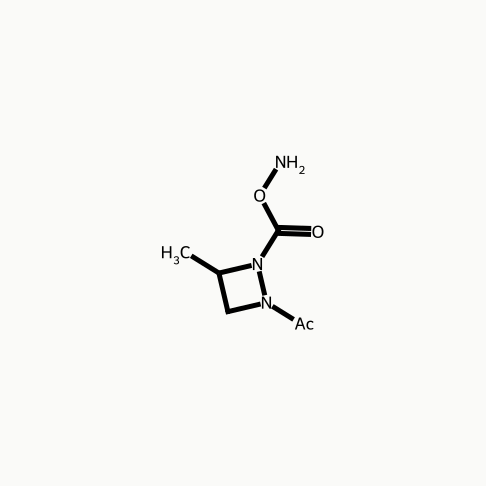 CC(=O)N1CC(C)N1C(=O)ON